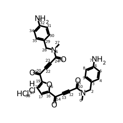 CN(Cc1ccc(N)cc1)C(=O)C#CC(=O)c1ccc(C(=O)C#CC(=O)N(C)Cc2ccc(N)cc2)o1.Cl.Cl